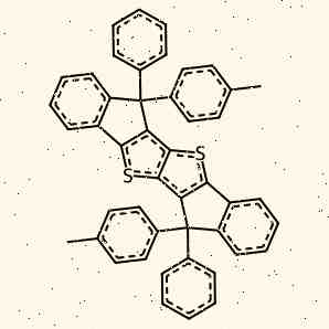 Cc1ccc(C2(c3ccccc3)c3ccccc3-c3sc4c5c(sc4c32)-c2ccccc2C5(c2ccccc2)c2ccc(C)cc2)cc1